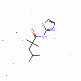 CC(C)CC(C)(C)C(=O)Nc1nccs1